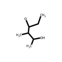 CCC([O])C(C)C(C)O